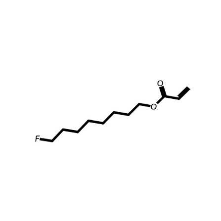 C=CC(=O)OCCCCCCCCF